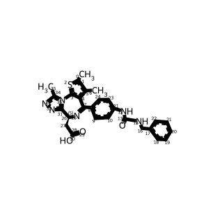 Cc1sc2c(c1C)C(c1ccc(NC(=O)NCc3ccccc3)cc1)=N[C@@H](CC(=O)O)c1nnc(C)n1-2